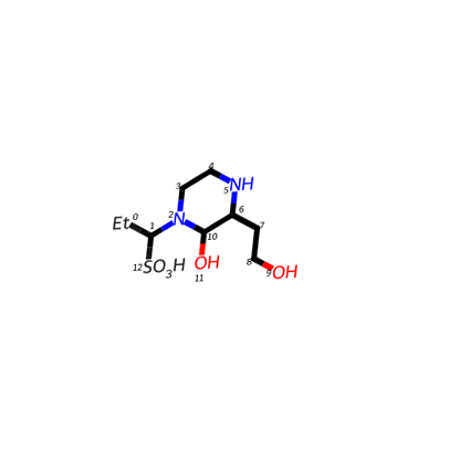 CCC(N1CCNC(CCO)C1O)S(=O)(=O)O